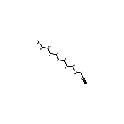 C#CCOCCCCCCCCBr